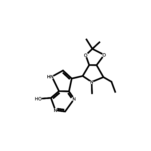 CCC1C2OC(C)(C)OC2C(c2c[nH]c3c(O)ncnc23)N1C